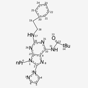 CCCn1c(-n2cccn2)nc2c(NC(=O)C(C)(C)C)nc(NCCc3ccccc3)nc21